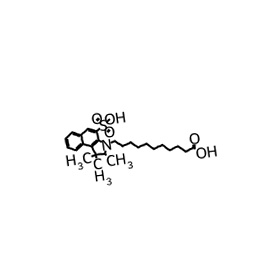 CC1N(CCCCCCCCCCC(=O)O)c2c(S(=O)(=O)O)cc3ccccc3c2C1(C)C